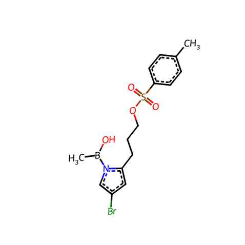 CB(O)n1cc(Br)cc1CCCOS(=O)(=O)c1ccc(C)cc1